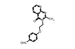 Cc1nc2ncccc2c(=O)n1CCOc1ccc(C=O)cc1